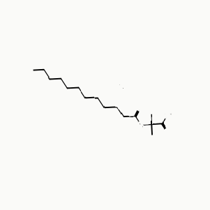 CCCCCCCCCCCC(=O)NC(C)(C)C(=O)O.[NaH]